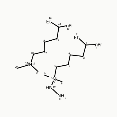 CCCC(CC)CCCC[16N+](C)(C)NN.CCCC(CC)CCCC[16N](C)C